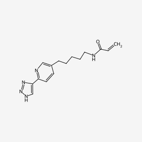 C=CC(=O)NCCCCCc1ccc(-c2c[nH]nn2)nc1